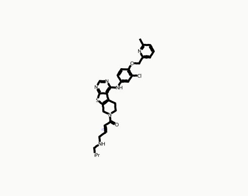 Cc1cccc(COc2ccc(Nc3ncnc4sc5c(c34)CCN(C(=O)/C=C/CNCC(C)C)C5)cc2Cl)n1